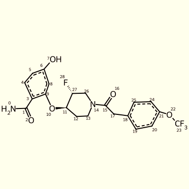 NC(=O)c1ccc(O)cc1O[C@@H]1CCN(C(=O)Cc2ccc(OC(F)(F)F)cc2)C[C@H]1F